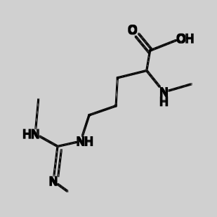 CN=C(NC)NCCCC(NC)C(=O)O